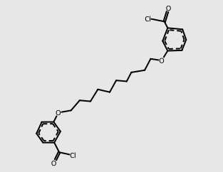 O=C(Cl)c1cccc(OCCCCCCCCCCOc2cccc(C(=O)Cl)c2)c1